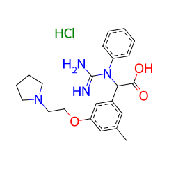 Cc1cc(OCCN2CCCC2)cc(C(C(=O)O)N(C(=N)N)c2ccccc2)c1.Cl